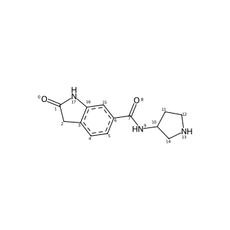 O=C1Cc2ccc(C(=O)NC3CCNC3)cc2N1